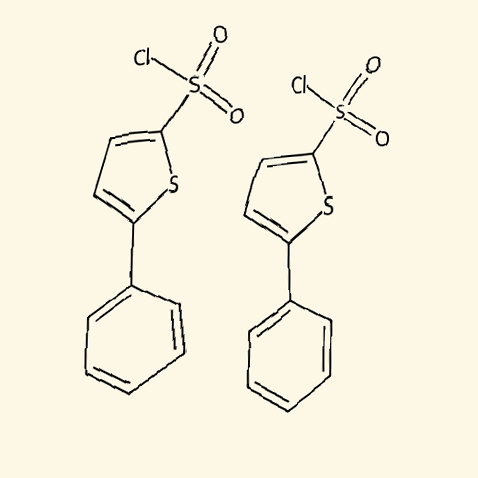 O=S(=O)(Cl)c1ccc(-c2ccccc2)s1.O=S(=O)(Cl)c1ccc(-c2ccccc2)s1